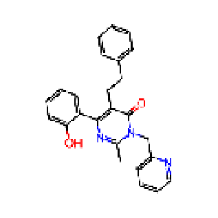 Cc1nc(-c2ccccc2O)c(CCc2ccccc2)c(=O)n1Cc1ccccn1